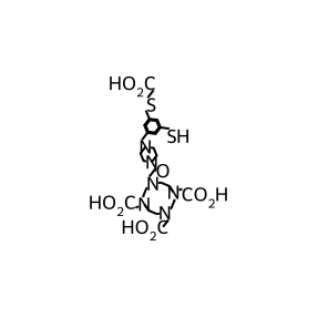 O=C(O)CCSCc1cc(CS)cc(CN2CCN(C(=O)CN3CCN(CC(=O)O)CCN(CC(=O)O)CCN(CC(=O)O)CC3)CC2)c1